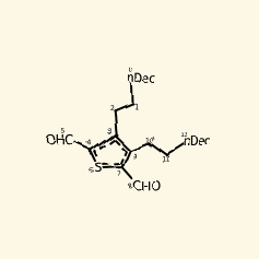 CCCCCCCCCCCCc1c(C=O)sc(C=O)c1CCCCCCCCCCCC